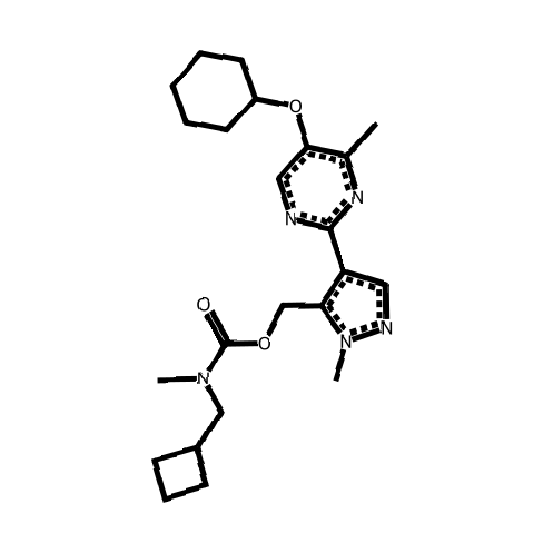 Cc1nc(-c2cnn(C)c2COC(=O)N(C)CC2CCC2)ncc1OC1CCCCC1